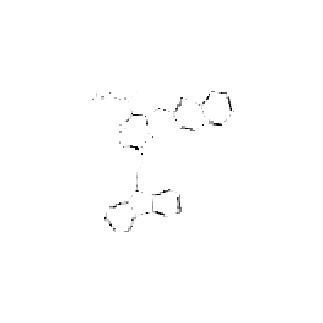 CON(C)C(=O)[C@@H](Cc1ccc2ccccc2c1)NC(=O)OCC1c2ccccc2-c2ccccc21